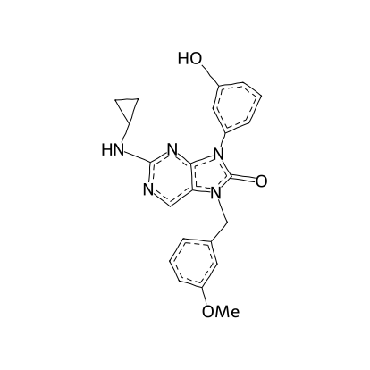 COc1cccc(Cn2c(=O)n(-c3cccc(O)c3)c3nc(NC4CC4)ncc32)c1